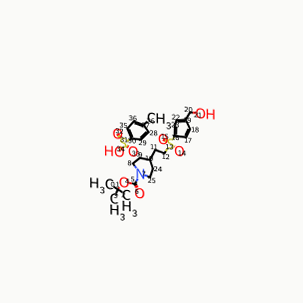 CC(C)(C)OC(=O)N1CCC(CCS(=O)(=O)c2ccc(CO)cc2)CC1.Cc1ccc(S(=O)(=O)O)cc1